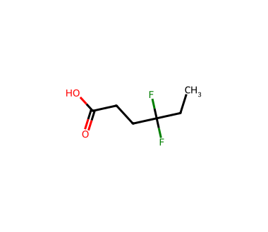 CCC(F)(F)CCC(=O)O